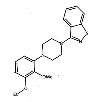 CCOc1[c]ccc(N2CCN(c3nsc4ccccc34)CC2)c1OC